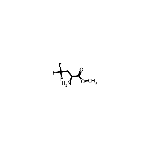 COC(=O)C(N)CC(F)(F)F